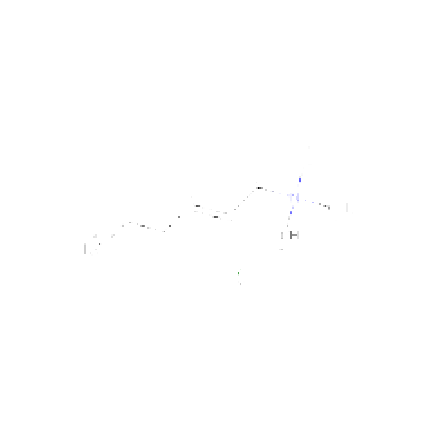 CCCC=CC[N+](C)(C)C.[Br-]